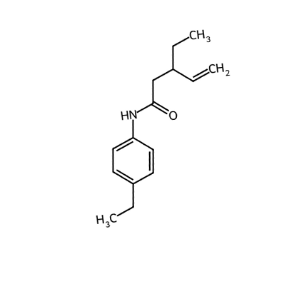 C=CC(CC)CC(=O)Nc1ccc(CC)cc1